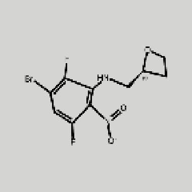 O=[N+]([O-])c1c(F)cc(Br)c(F)c1NC[C@@H]1CCO1